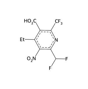 CCc1c(C(=O)O)c(C(F)(F)F)nc(C(F)F)c1[N+](=O)[O-]